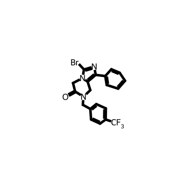 O=C1Cn2c(Br)nc(-c3ccccc3)c2CN1Cc1ccc(C(F)(F)F)cc1